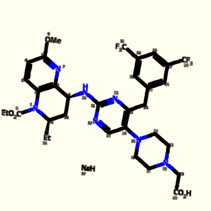 CCOC(=O)N1c2ccc(OC)nc2[C@@H](Nc2ncc(N3CCN(CC(=O)O)CC3)c(Cc3cc(C(F)(F)F)cc(C(F)(F)F)c3)n2)C[C@H]1CC.[NaH]